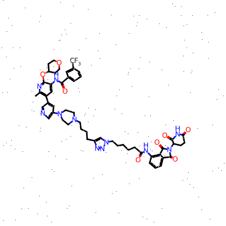 Cc1nc(OC2CCOCC2)c(NC(=O)c2cccc(C(F)(F)F)c2)cc1-c1cncc(N2CCN(CCCCc3cn(CCCCCC(=O)Nc4cccc5c4C(=O)N(C4CCC(=O)NC4=O)C5=O)nn3)CC2)c1